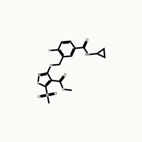 COC(=O)c1c(OCc2cc(C(=O)NC3CC3)ccc2F)nsc1S(C)(=O)=O